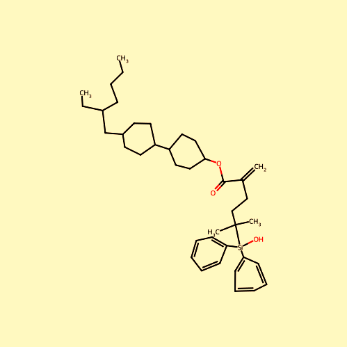 C=C(CCC(C)(C)[Si](O)(c1ccccc1)c1ccccc1)C(=O)OC1CCC(C2CCC(CC(CC)CCCC)CC2)CC1